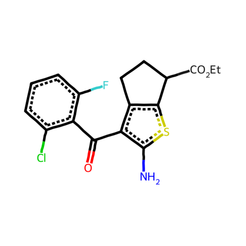 CCOC(=O)C1CCc2c1sc(N)c2C(=O)c1c(F)cccc1Cl